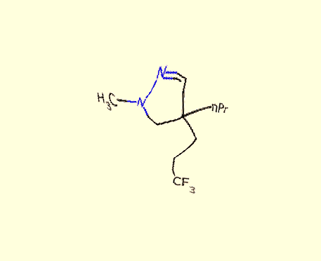 CCCC1(CCC(F)(F)F)C=NN(C)C1